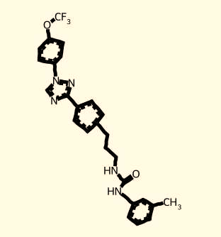 Cc1cccc(NC(=O)NCCCc2ccc(-c3ncn(-c4ccc(OC(F)(F)F)cc4)n3)cc2)c1